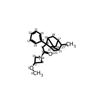 COC1CN(C(=O)CC2(c3ccccc3)C3CC4CC2CC(C3)C4C)C1